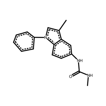 CNC(=O)Nc1ccc2c(c1)c(C)cn2-c1ccccc1